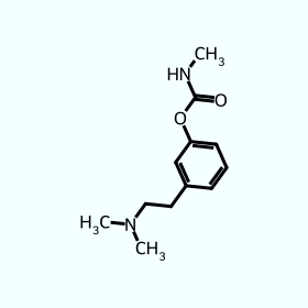 CNC(=O)Oc1cccc(CCN(C)C)c1